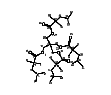 CC(C)CC(C)(C)C(=O)OCC(COC(=O)C(C)(C)CC(C)C)(COC(=O)C(C)(C)CC(C)C)COC(=O)C(C)(C)CC(C)C